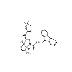 CC(C)(C)OC(=O)N[C@H]1CN(C(=O)OCC2c3ccccc3-c3ccccc32)[C@H]2[C@@H]1OC[C@@H]2O